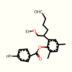 CCCc1ccc(C(=O)Oc2c(C)cc(C)cc2C(CCCC=O)COCC)cc1